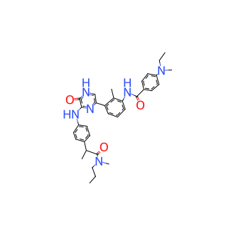 CCCN(C)C(=O)C(C)c1ccc(Nc2nc(-c3cccc(NC(=O)c4ccc(N(C)CC)cc4)c3C)c[nH]c2=O)cc1